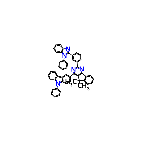 CC1(C)c2ccccc2-c2nc(-c3cccc(-c4nc5ccccc5n4-c4ccccc4)c3)nc(-c3ccc4c(c3)c3ccccc3n4-c3ccccc3)c21